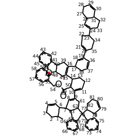 CC1CCC=CC1C1C=C(C2=CCCC(C3=C(C4C=C(C5=CCC(C6=CC7CCC=CC7CC6)CC5)C=CC4)CC4c5ccccc5OC4C3)C2C(=O)OCc2ccccc2)CC2C1c1ccccc1C2(c1ccccc1)C1CC=CCC1